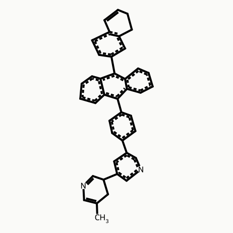 CC1=CN=CC(c2cncc(-c3ccc(-c4c5ccccc5c(-c5ccc6c(c5)CCC=C6)c5ccccc45)cc3)c2)C1